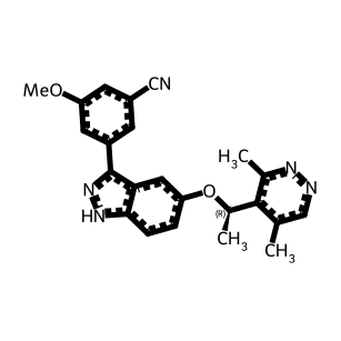 COc1cc(C#N)cc(-c2n[nH]c3ccc(O[C@H](C)c4c(C)cnnc4C)cc23)c1